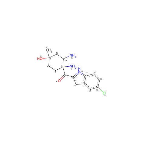 CC1(O)CCC(N)(C(=O)c2cc3cc(Cl)ccc3[nH]2)C(N)C1